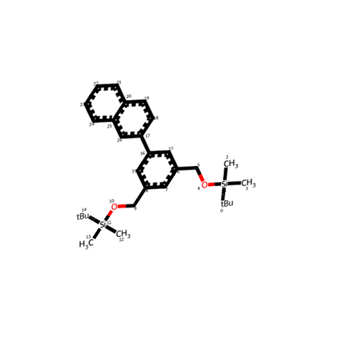 CC(C)(C)[Si](C)(C)OCc1cc(CO[Si](C)(C)C(C)(C)C)cc(-c2ccc3ccccc3c2)c1